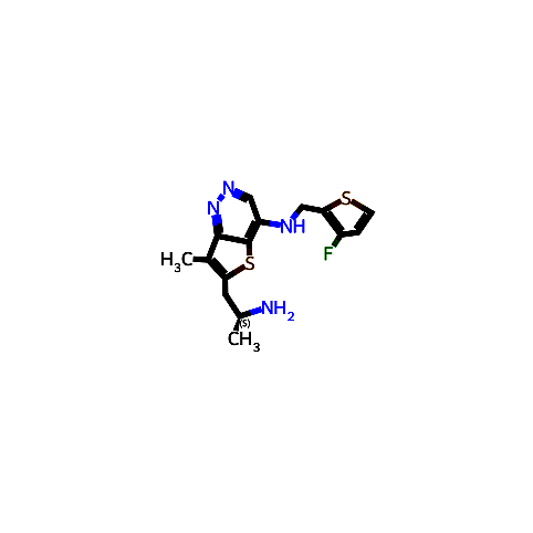 Cc1c(C[C@H](C)N)sc2c(NCc3sccc3F)cnnc12